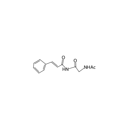 CC(=O)NCC(=O)NC(=O)/C=C/c1ccccc1